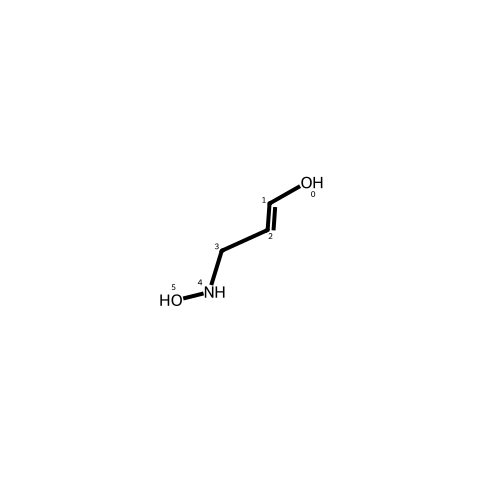 OC=CCNO